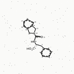 O=C(O)[C@@H](Cc1ccccc1)NC(=O)N1Cc2ccccc2C1